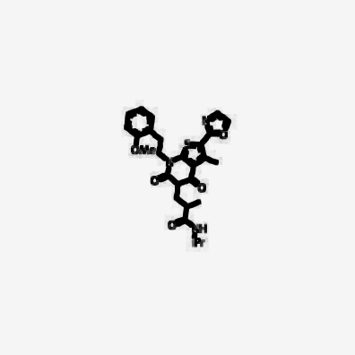 COc1ccccc1CCN1C(=O)C(CC(C)C(=O)NC(C)C)C(=O)c2c1sc(-c1ncco1)c2C